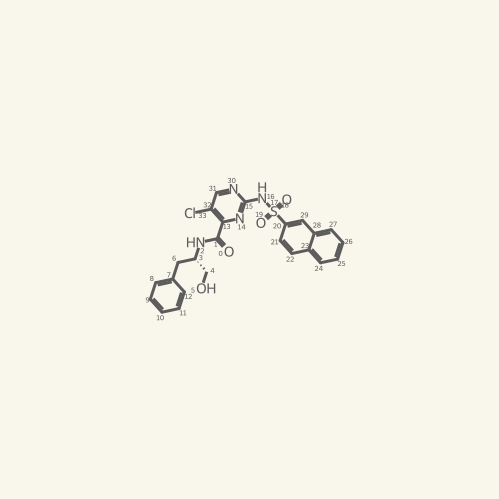 O=C(N[C@H](CO)Cc1ccccc1)c1nc(NS(=O)(=O)c2ccc3ccccc3c2)ncc1Cl